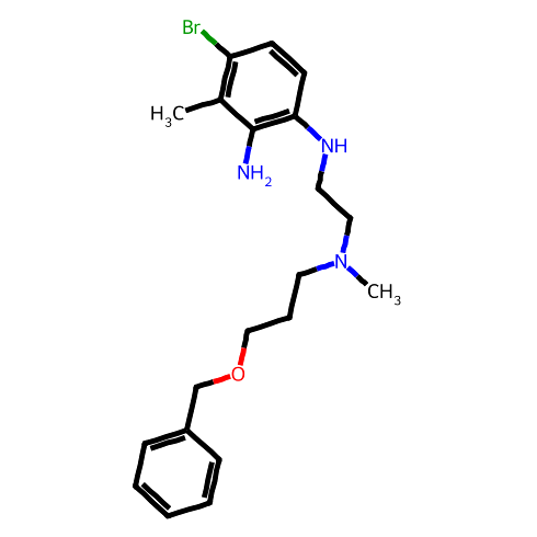 Cc1c(Br)ccc(NCCN(C)CCCOCc2ccccc2)c1N